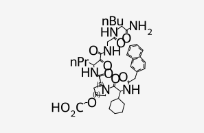 CCCCC(NC(=O)CNC(=O)C(=O)C(CCC)NC(=O)[C@@H]1C[C@@H](OCC(=O)O)CN1C(=O)C(NC(=O)Cc1ccc2ccccc2c1)C1CCCCC1)C(N)=O